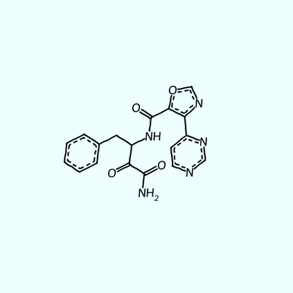 NC(=O)C(=O)C(Cc1ccccc1)NC(=O)c1ocnc1-c1ccncn1